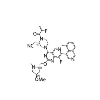 C=C(F)C(=O)N1CCN(c2nc(OC[C@@H]3C[C@@H](OC)CN3C)nc3c(F)c(-c4cncc5cccc(C)c45)ncc23)C[C@@H]1CC#N